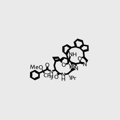 CO[C@](C(=O)NC1Cc2ccc3c(c2)C24c5cccc(c5N[C@H]2O3)-c2cccc3c2C(=CC3)c2cnc(o2)-c2nc(oc24)[C@H](C(C)C)NC1=O)(c1ccccc1)C(F)(F)F